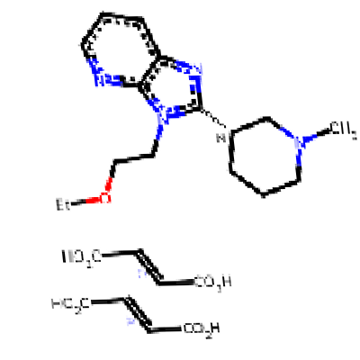 CCOCCn1c([C@H]2CCCN(C)C2)nc2cccnc21.O=C(O)/C=C/C(=O)O.O=C(O)/C=C/C(=O)O